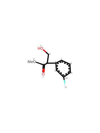 COC(=O)C(CO)c1cccc(F)c1